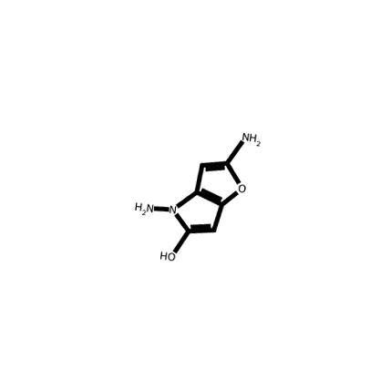 Nc1cc2c(cc(O)n2N)o1